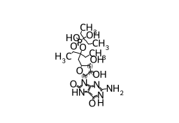 CCC(CC)(CC1O[C@@H](n2c(=O)[nH]c3c(=O)[nH]c(N)nc32)[C@H](O)[C@@H]1O)OP(=O)(O)C(O)(CC)CC